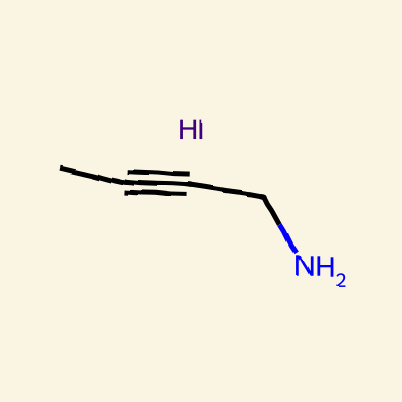 CC#CCN.I